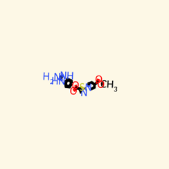 COC(=O)C1CCN(c2ncc(C(=O)Oc3ccc(NC(=N)N)cc3)s2)CC1